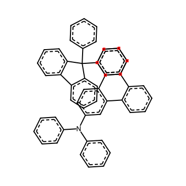 c1ccc(-c2ccc(N(c3ccccc3)c3ccccc3)cc2-c2ccccc2-c2cccc(C3(c4ccccc4)c4ccccc4-c4ccccc43)c2)cc1